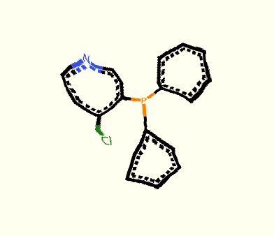 Clc1ccncc1P(c1ccccc1)c1ccccc1